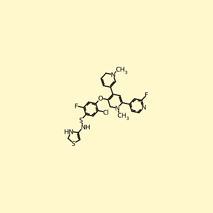 CN1C=C(C2=C(Oc3cc(F)c(SNC4=CSCN4)cc3Cl)CN(C)C(c3ccnc(F)c3)=C2)C=CC1